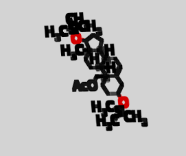 CC(=O)OC[C@]12CCC(O[Si](C)(C)C)CC1=CC[C@@H]1[C@H]2CC[C@]2(C)C(O[Si](C)(C)C)CC[C@@H]12